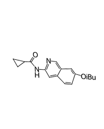 CC(C)COc1ccc2cc(NC(=O)C3CC3)ncc2c1